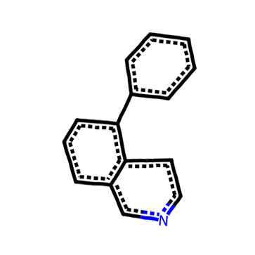 c1ccc(-c2cccc3cnccc23)cc1